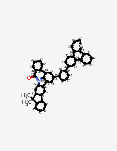 CC1(C)c2ccccc2-c2cc3c4cc(-c5cccc(-c6ccc7c8ccccc8c8ccccc8c7c6)c5)cc5c6ccccc6c(=O)n(c3cc21)c54